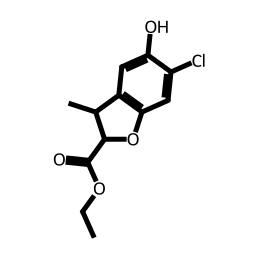 CCOC(=O)C1Oc2cc(Cl)c(O)cc2C1C